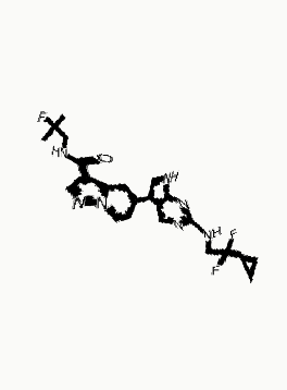 CC(C)(F)CNC(=O)c1cnn2ccc(-c3c[nH]c4nc(NCC(F)(F)C5CC5)ncc34)cc12